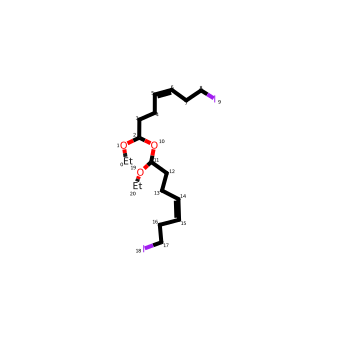 CCOC(CC/C=C\CCI)OC(CC/C=C\CCI)OCC